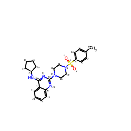 Cc1ccc(S(=O)(=O)N2CCN(c3nc(NC4CCCC4)c4ccccc4n3)CC2)cc1